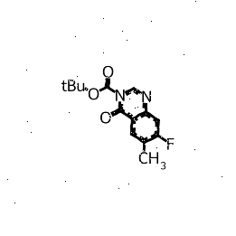 Cc1cc2c(=O)n(C(=O)OC(C)(C)C)cnc2cc1F